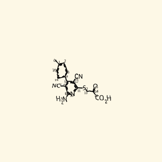 Cc1ccc(-c2c(C#N)c(N)nc(SCC(=O)C(=O)O)c2C#N)cc1